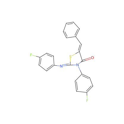 O=C1C(=Cc2ccccc2)SC(=Nc2ccc(F)cc2)N1c1ccc(F)cc1